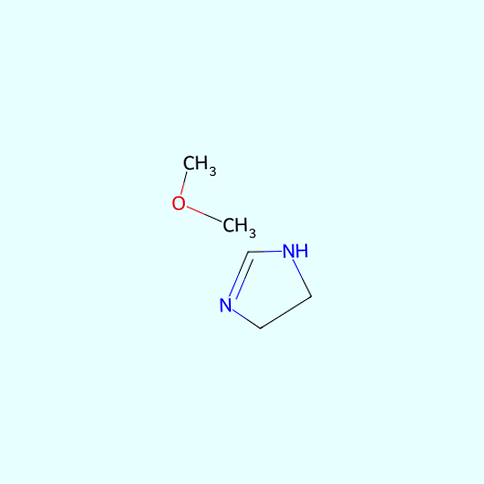 C1=NCCN1.COC